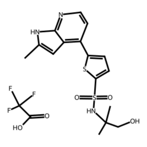 Cc1cc2c(-c3ccc(S(=O)(=O)NC(C)(C)CO)s3)ccnc2[nH]1.O=C(O)C(F)(F)F